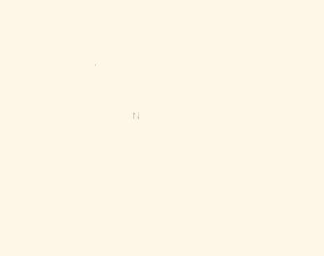 Cc1ccccc1N(c1ccc2c(c1)C1(c3ccccc3Oc3c1ccc1ccccc31)c1ccccc1-2)c1ccc2c(c1)oc1ccccc12